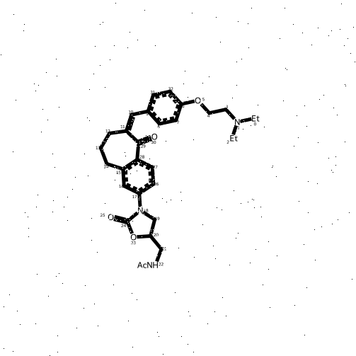 CCN(CC)CCOc1ccc(C=C2CCCc3cc(N4CC(CNC(C)=O)OC4=O)ccc3C2=O)cc1